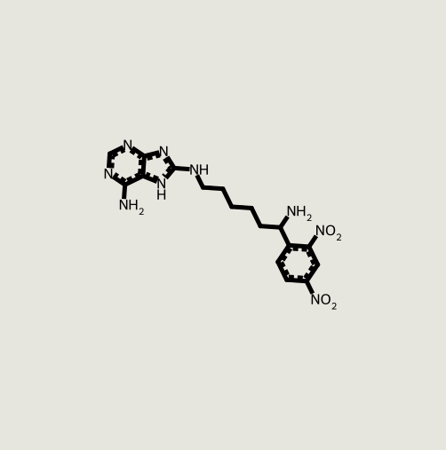 Nc1ncnc2nc(NCCCCCC(N)c3ccc([N+](=O)[O-])cc3[N+](=O)[O-])[nH]c12